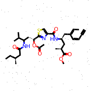 C#C/C=C\C(=C/C)C[C@@H](C[C@H](C)C(=O)OC)NC(=O)c1csc([C@@H](CC(NC(=O)C[C@@H](C)CC)C(C)C)OC(C)=O)n1